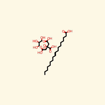 CCCCCCCCC=CCCCCCCCC(=O)O.O=C(O)CC(O)(CC(=O)O)C(=O)O.OCC(O)CO